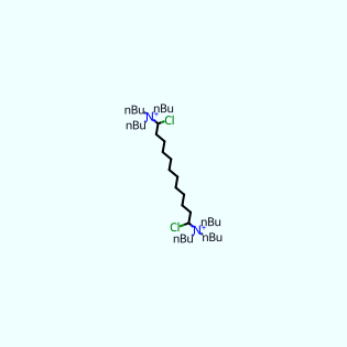 CCCC[N+](CCCC)(CCCC)C(Cl)CCCCCCCCCCC(Cl)[N+](CCCC)(CCCC)CCCC